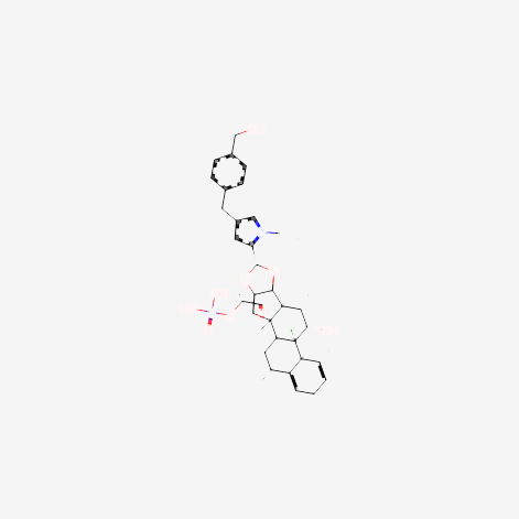 Cn1cc(Cc2ccc(CO)cc2)cc1[C@@H]1O[C@@H]2C[C@H]3[C@@H]4C[C@H](F)C5=CCC=C[C@]5(C)[C@@]4(F)[C@@H](O)C[C@]3(C)[C@]2(C(=O)COP(=O)(O)O)O1